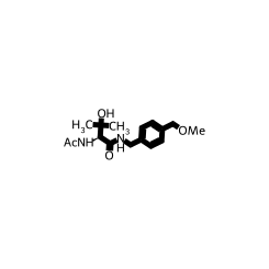 COCc1ccc(CNC(=O)[C@H](NC(C)=O)C(C)(C)O)cc1